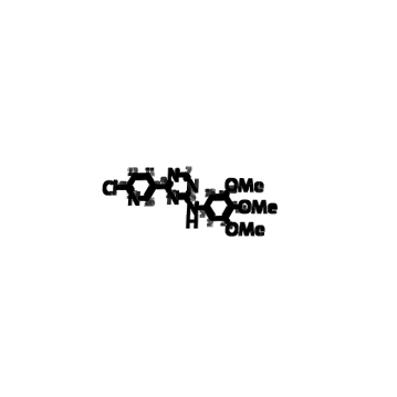 COc1cc(Nc2ncnc(-c3ccc(Cl)nc3)n2)cc(OC)c1OC